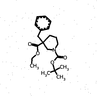 CCOC(=O)C1(Cc2ccccc2)CCCN(C(=O)OC(C)(C)C)C1